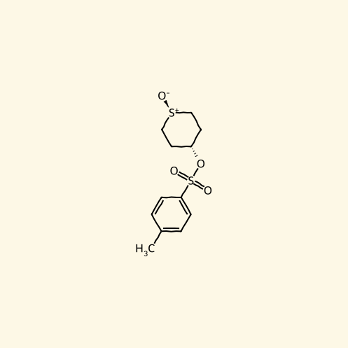 Cc1ccc(S(=O)(=O)O[C@H]2CC[S@+]([O-])CC2)cc1